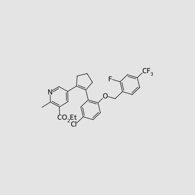 CCOC(=O)c1cc(C2=C(c3cc(Cl)ccc3OCc3ccc(C(F)(F)F)cc3F)CCC2)cnc1C